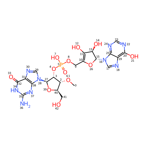 CO[C@H]1[C@@H](OP(=O)(O)OCC2=C(O)[C@@H](O)[C@H](n3cnc4c(O)ncnc43)O2)[C@H](n2cnc3c(=O)[nH]c(N)nc32)O[C@@H]1CO